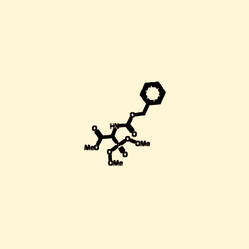 COOP(=O)(OOC)C(NC(=O)OCc1ccccc1)C(=O)OC